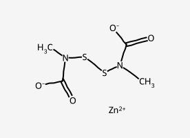 CN(SSN(C)C(=O)[O-])C(=O)[O-].[Zn+2]